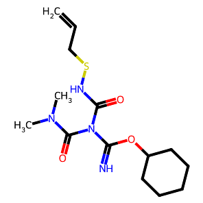 C=CCSNC(=O)N(C(=N)OC1CCCCC1)C(=O)N(C)C